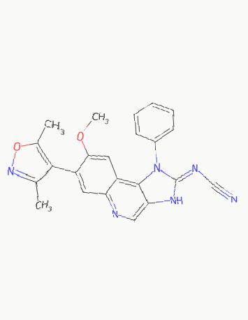 COc1cc2c(cc1-c1c(C)noc1C)ncc1[nH]c(=NC#N)n(-c3ccccc3)c12